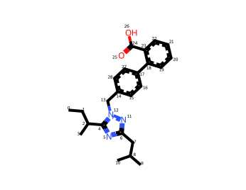 CCC(C)c1nc(CC(C)C)nn1Cc1ccc(-c2ccccc2C(=O)O)cc1